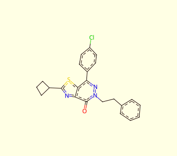 O=c1c2nc(C3CCC3)sc2c(-c2ccc(Cl)cc2)nn1CCc1ccccc1